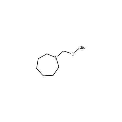 CC(C)(C)OCN1CCCCCC1